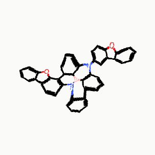 c1ccc2c(c1)-c1cccc3c1B1c4c(cccc4N3c3ccc4oc5ccccc5c4c3)-c3c(ccc4c3oc3ccccc34)N12